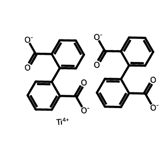 O=C([O-])c1ccccc1-c1ccccc1C(=O)[O-].O=C([O-])c1ccccc1-c1ccccc1C(=O)[O-].[Ti+4]